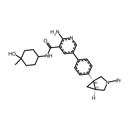 CC(C)N1C[C@H]2C[C@@]2(c2ccc(-c3cnc(N)c(C(=O)NC4CCC(C)(O)CC4)c3)cc2)C1